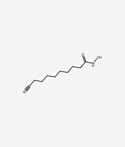 N#CCCCCCCCCC(=O)NO